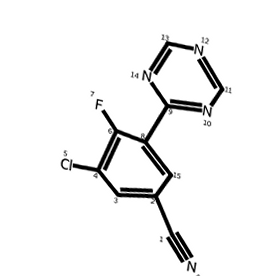 N#Cc1cc(Cl)c(F)c(-c2ncncn2)c1